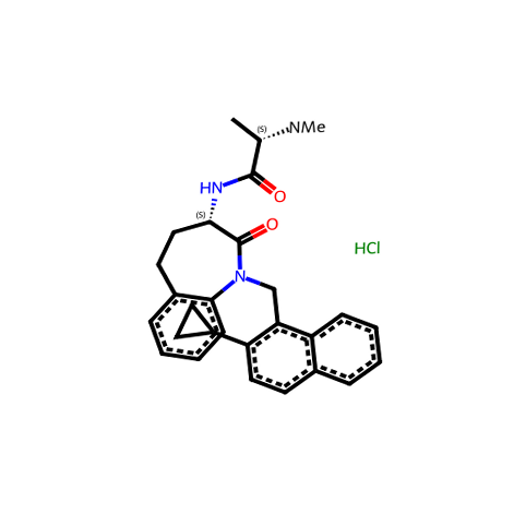 CN[C@@H](C)C(=O)N[C@H]1CCc2ccccc2N(Cc2c(C3CC3)ccc3ccccc23)C1=O.Cl